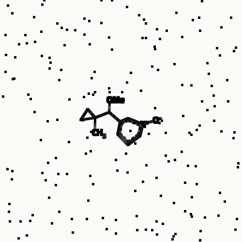 COC(c1ccc[n+]([O-])c1)C1(C)CC1